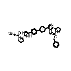 CC(C)(C)OC(=O)N1CCC[C@H]1c1ncc(-c2ccc(C34CCC(c5cnc([C@@H]6CCCN6C(=O)OCc6ccccc6)[nH]5)(CC3)CC4)cc2)[nH]1